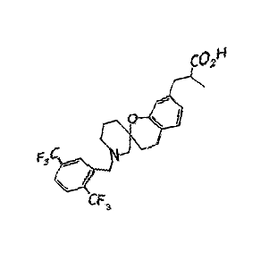 CC(Cc1ccc2c(c1)OC1(CCCN(Cc3cc(C(F)(F)F)ccc3C(F)(F)F)C1)CC2)C(=O)O